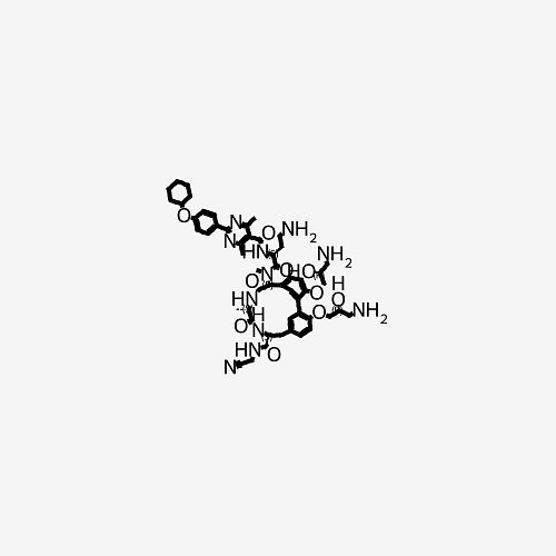 Cc1nc(-c2ccc(OC3CCCCC3)cc2)nc(C)c1C(=O)N[C@@H](CCN)C(=O)N(C)[C@@H]1C(=O)N[C@@H](C)C(=O)N[C@H](C(=O)NCC#N)Cc2ccc(OC[C@H](O)CN)c(c2)-c2cc1ccc2OC[C@H](O)CN